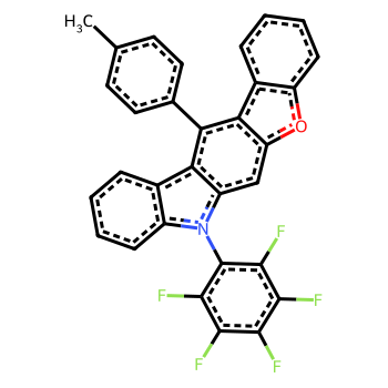 Cc1ccc(-c2c3c(cc4c2c2ccccc2n4-c2c(F)c(F)c(F)c(F)c2F)oc2ccccc23)cc1